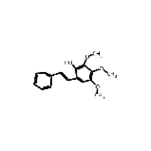 COc1cc(/C=C/c2ccccc2)c(O)c(OC)c1OC